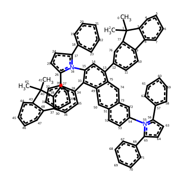 CC1(C)c2ccccc2-c2ccc(-c3cc(-n4c(-c5ccccc5)ccc4-c4ccccc4)c(-c4ccc5c(c4)C(C)(C)c4ccccc4-5)c4cc5ccc(-n6c(-c7ccccc7)ccc6-c6ccccc6)cc5cc34)cc21